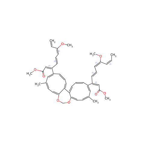 C=C\C(=C/C=C/C(=C/C(=O)OC)c1cccc2c(ccc(C)c1)OCOc1ccc(C)cc(C(=C\C(=O)OC)/C=C/C=C(\C=C/C)OC)cccc1-2)OC